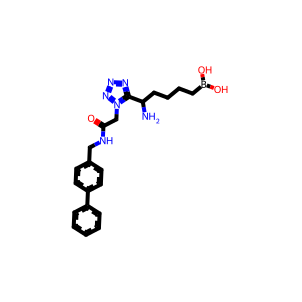 NC(CCCCB(O)O)c1nnnn1CC(=O)NCc1ccc(-c2ccccc2)cc1